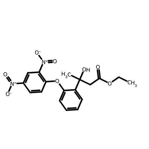 CCOC(=O)CC(C)(O)c1ccccc1Oc1ccc([N+](=O)[O-])cc1[N+](=O)[O-]